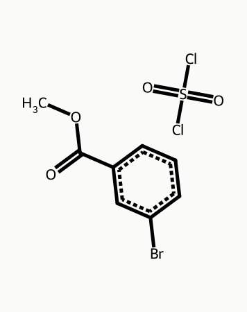 COC(=O)c1cccc(Br)c1.O=S(=O)(Cl)Cl